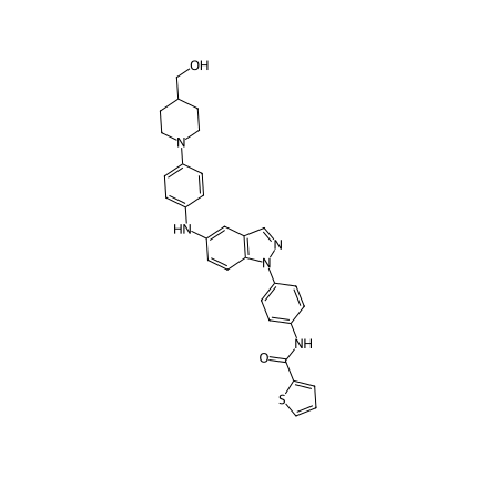 O=C(Nc1ccc(-n2ncc3cc(Nc4ccc(N5CCC(CO)CC5)cc4)ccc32)cc1)c1cccs1